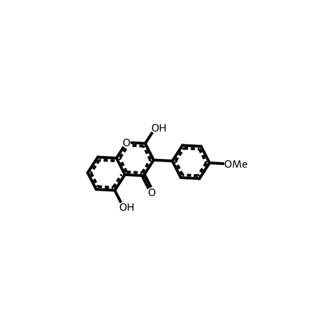 COc1ccc(-c2c(O)oc3cccc(O)c3c2=O)cc1